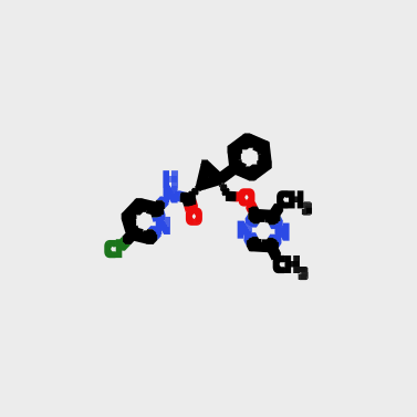 Cc1cnc(OC[C@@]2(c3ccccc3)C[C@H]2C(=O)Nc2ccc(Cl)cn2)c(C)n1